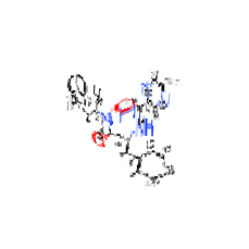 CC(C)C[C@H](NC(=O)[C@H](Cc1ccccc1)NC(=O)c1cnccn1)C(=O)O